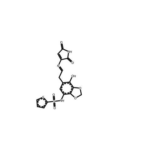 O=C1C=C(/N=C/Cc2cc(NS(=O)(=O)c3cccs3)c3c(c2O)OCO3)C(=O)N1